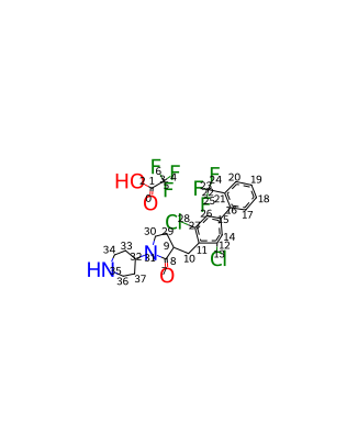 O=C(O)C(F)(F)F.O=C1C(Cc2c(Cl)cc(-c3ccccc3C(F)(F)F)cc2Cl)CCN1C1CCNCC1